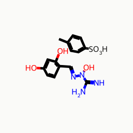 Cc1ccc(S(=O)(=O)O)cc1.N=C(N)N(O)N=Cc1ccc(O)cc1O